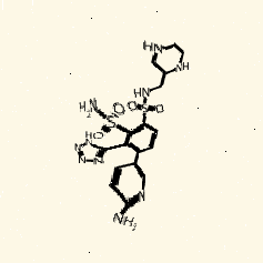 Nc1ccc(-c2ccc(S(=O)(=O)NCC3CNCCN3)c(S(N)(=O)=O)c2-c2nnn[nH]2)cn1